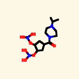 CC(C)N1CCN(C(=O)C2CC(ON(O)O)C(ON(O)O)C2)CC1